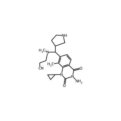 Cc1c(C(C2CCNC2)N(C)CCC#N)ccc2c(=O)n(N)c(=O)n(C3CC3)c12